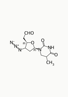 CC1CN([C@H]2CC(N=[N+]=[N-])[C@@H](CC=O)O2)C(=O)NC1=O